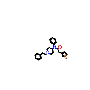 O=C(Cc1ccsc1)N(c1ccccc1)C1CCN(CCc2ccccc2)CC1